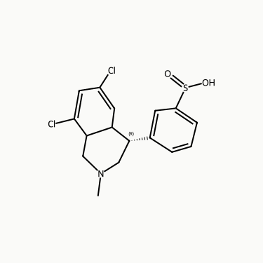 CN1CC2C(Cl)=CC(Cl)=CC2[C@H](c2cccc(S(=O)O)c2)C1